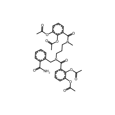 CC(=O)Oc1cccc(C(=O)N(C)CCCN(Cc2ccccc2C(N)=O)C(=O)c2cccc(OC(C)=O)c2OC(C)=O)c1OC(C)=O